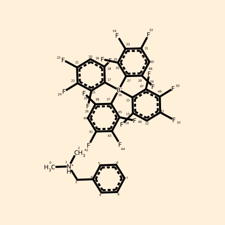 C[NH+](C)Cc1ccccc1.Fc1cc(F)c([B-](c2c(F)cc(F)c(F)c2F)(c2c(F)cc(F)c(F)c2F)c2c(F)cc(F)c(F)c2F)c(F)c1F